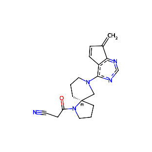 C=C1C=Cc2c1ncnc2N1CCC[C@@]2(CCCN2C(=O)CC#N)C1